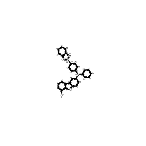 Brc1cccc2c1sc1ccc(N(c3ccccc3)c3ccc(-n4nc5ccccc5n4)cc3)cc12